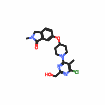 Cc1c(Cl)nc(CO)nc1N1CCC(Oc2ccc3c(c2)C(=O)N(C)C3)CC1